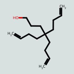 C=CCCC(CCC=C)(CCC=C)CCCO